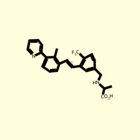 Cc1c(/C=C/c2cc(CNC(C)C(=O)O)ccc2C(F)(F)F)cccc1-c1ccccn1